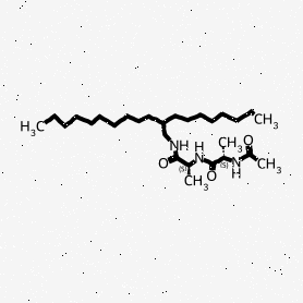 CCCCCCCCCCC(CCCCCCCC)CNC(=O)[C@H](C)NC(=O)[C@H](C)NC(C)=O